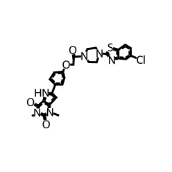 Cn1c(=O)c2[nH]c(-c3ccc(OCC(=O)N4CCN(c5nc6cc(Cl)ccc6s5)CC4)cc3)cc2n(C)c1=O